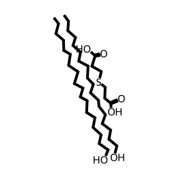 CCCCCCCCCCCCCCCCCCO.CCCCCCCCCCCCCCCCCCO.O=C(O)CCSCCC(=O)O